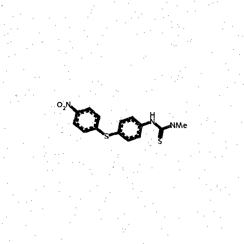 CNC(=S)Nc1ccc(Sc2ccc([N+](=O)[O-])cc2)cc1